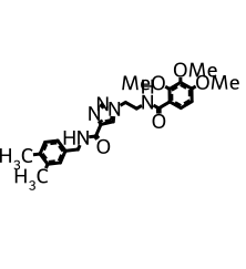 COc1ccc(C(=O)NCCn2cc(C(=O)NCc3ccc(C)c(C)c3)nn2)c(OC)c1OC